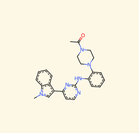 CC(=O)N1CCN(c2ccccc2Nc2nccc(-c3cn(C)c4ccccc34)n2)CC1